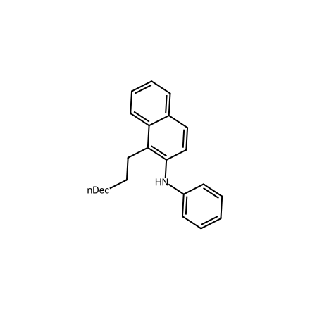 CCCCCCCCCCCCc1c(Nc2ccccc2)ccc2ccccc12